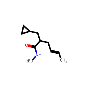 C/C=C/CC(CC1CC1)C(=O)NC(C)(C)C